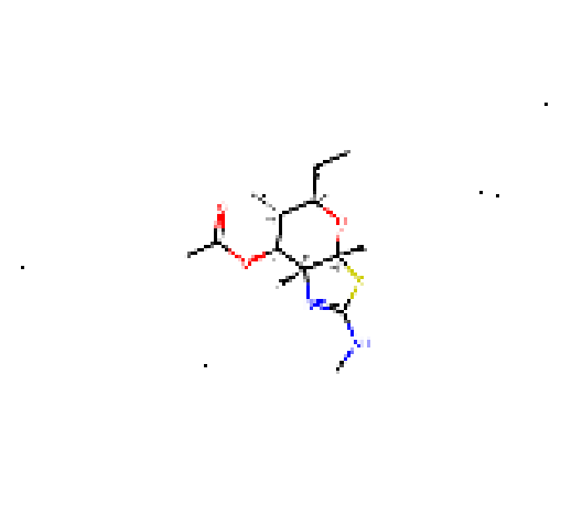 CC[C@H]1O[C@@H]2SC(NC)=N[C@@H]2[C@@H](OC(C)=O)[C@@H]1C